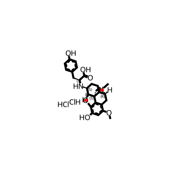 COc1cc(O)c2c3c1C[C@@H]1[C@@H]4CC[C@H](N[C@@H](Cc5ccc(O)cc5)C(=O)O)[C@H](O2)[C@]34CCN1C.Cl.Cl